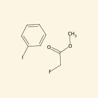 COC(=O)CF.Ic1ccccc1